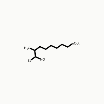 CCCCCCCCCCCCCCC(C)C(CC)N=O